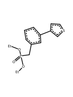 CCOP(=O)(Cc1cccc(-c2ccsc2)c1)OCC